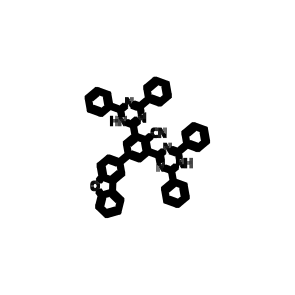 N#Cc1c(C2=NC(c3ccccc3)NC(c3ccccc3)=N2)cc(-c2ccc3oc4ccccc4c3c2)cc1C1=NC(c2ccccc2)=NC(c2ccccc2)N1